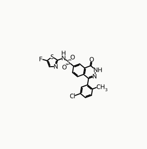 Cc1ccc(Cl)cc1-c1n[nH]c(=O)c2cc(S(=O)(=O)Nc3ncc(F)s3)ccc12